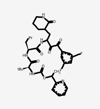 CC(C)C[C@H](NC(=O)[C@@H](NC(=O)OC(C)c1ccccn1)C(C)(C)C)C(=O)NC(CC1CCCNC1=O)C(=O)C(=O)c1cc(F)cc(F)c1